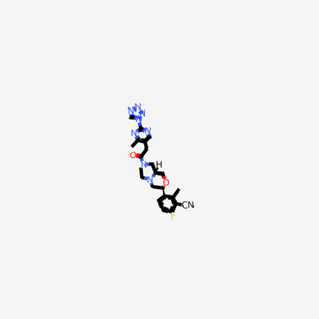 Cc1nc(-n2cnnn2)ncc1CC(=O)N1CCN2C[C@H](c3ccc(F)c(C#N)c3C)OC[C@H]2C1